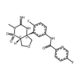 CN1C(=N)N[C@]2(c3cc(NC(=O)c4ccc(F)cn4)ccc3F)COC[C@@H]2S1(=O)=O